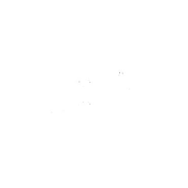 CC(=O)N[C@@H](CO)C(OC(CO)[C@H](C)O)O[C@H](CO)C[C@@H](O)COPO